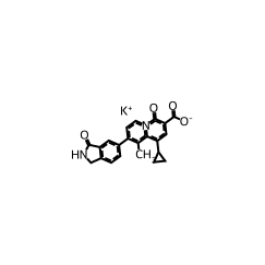 Cc1c(-c2ccc3c(c2)C(=O)NC3)ccn2c(=O)c(C(=O)[O-])cc(C3CC3)c12.[K+]